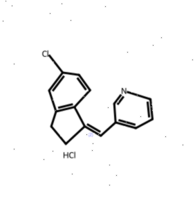 Cl.Clc1ccc2c(c1)CC/C2=C/c1cccnc1